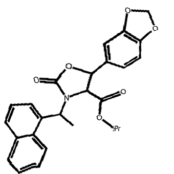 CC(C)OC(=O)C1C(c2ccc3c(c2)OCO3)OC(=O)N1C(C)c1cccc2ccccc12